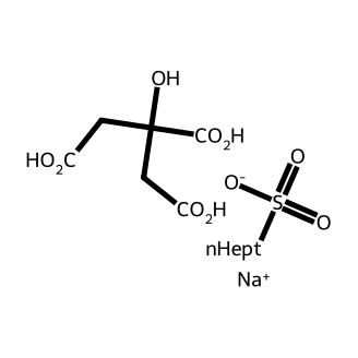 CCCCCCCS(=O)(=O)[O-].O=C(O)CC(O)(CC(=O)O)C(=O)O.[Na+]